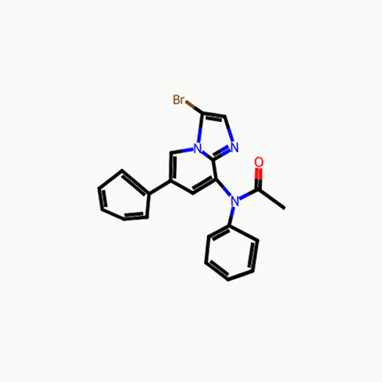 CC(=O)N(c1ccccc1)c1cc(-c2ccccc2)cn2c(Br)cnc12